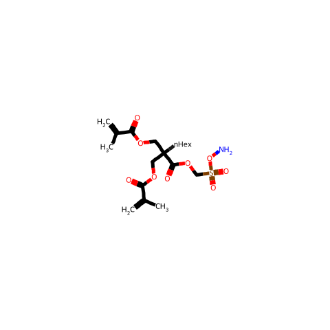 C=C(C)C(=O)OCC(CCCCCC)(COC(=O)C(=C)C)C(=O)OCS(=O)(=O)ON